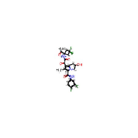 CNC(=O)C1(NC(=O)C(=O)c2c(C)c(C(=O)Nc3ccc(F)c(Cl)c3)n3c2CC(O)C3)CC(F)(F)C1